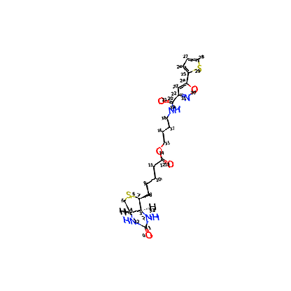 O=C1N[C@H]2[C@H](CS[C@H]2CCCCC(=O)OCCCCNC(=O)c2cc(-c3cccs3)on2)N1